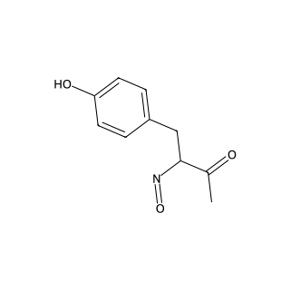 CC(=O)C(Cc1ccc(O)cc1)N=O